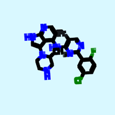 CC(C)c1cnc(-c2cc(Cl)ccc2F)nc1Nc1ccnc2[nH]cc(N3CCNCC3C)c12